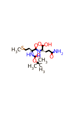 CSCC[C@H](NC(=O)OC(C)(C)C)C(=O)N[C@@H](CCC(N)=O)C(=O)O